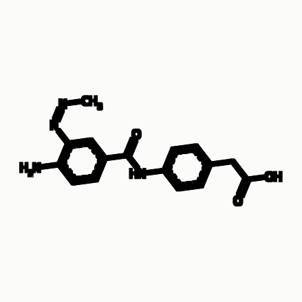 C/N=N\c1cc(C(=O)Nc2ccc(CC(=O)O)cc2)ccc1N